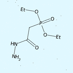 CCOP(=O)(CC(=O)NN)OCC